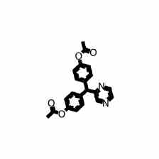 CC(=O)Oc1ccc(C(c2ccc(OC(C)=O)cc2)c2cnccn2)cc1